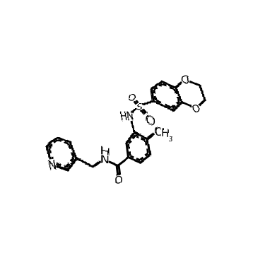 Cc1ccc(C(=O)NCc2cccnc2)cc1NS(=O)(=O)c1ccc2c(c1)OCCO2